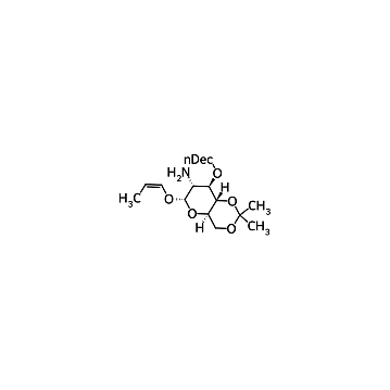 C/C=C\O[C@H]1O[C@@H]2COC(C)(C)O[C@H]2[C@H](OCCCCCCCCCC)[C@H]1N